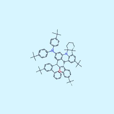 CC(C)(C)c1ccc(N(c2ccc(C(C)(C)C)cc2)c2cc3c4c(c2)N2c5c(cc(C(C)(C)C)cc5C5(C)CCCCC25C)B4c2c(oc4cc(C(C)(C)C)ccc24)C3c2ccc(C(C)(C)C)cc2-c2ccccc2)cc1